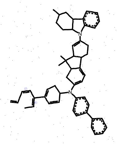 C=C/C=C\C(=C/C)C1=CCC(N(C2=CC=C3C4CCC(N5c6ccccc6C6CC(C)CCC65)=CC4C(C)(C)C3C2)c2ccc(-c3ccccc3)cc2)C=C1